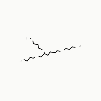 CC(C)OCCCOCCCCC(COCCCOC(C)C)OCCCOC(C)C